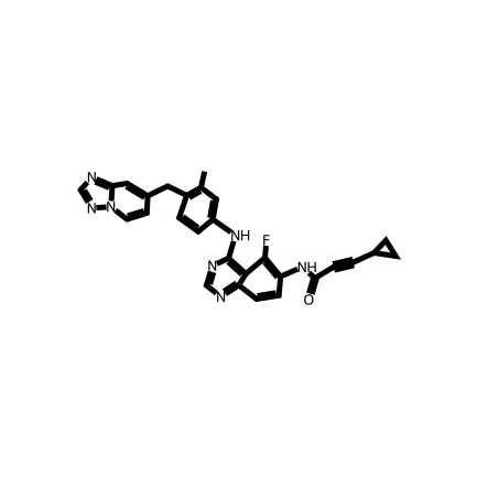 Cc1cc(Nc2ncnc3ccc(NC(=O)C#CC4CC4)c(F)c23)ccc1Cc1ccn2ncnc2c1